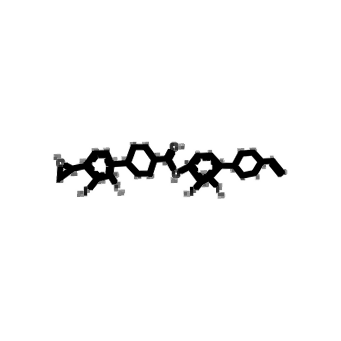 C=CC1CCC(c2ccc(OC(=O)C3CCC(c4ccc(C5CO5)c(F)c4F)CC3)c(F)c2F)CC1